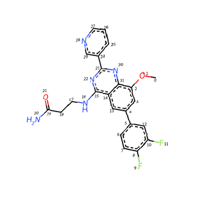 COc1cc(-c2ccc(F)c(F)c2)cc2c(NCCC(N)=O)nc(-c3cccnc3)nc12